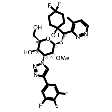 CO[C@@H]1[C@@H](n2cc(-c3cc(F)c(F)c(F)c3)nn2)[C@@H](O)[C@@H](CO)O[C@H]1S[C@H](c1nnccc1C)C1(O)CCC(F)(F)CC1